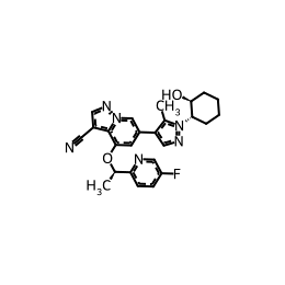 Cc1c(-c2cc(O[C@H](C)c3ccc(F)cn3)c3c(C#N)cnn3c2)cnn1[C@H]1CCCC[C@@H]1O